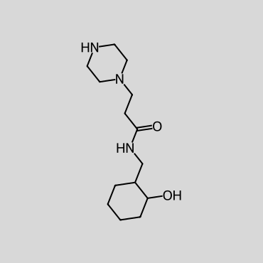 O=C(CCN1CCNCC1)NCC1CCCCC1O